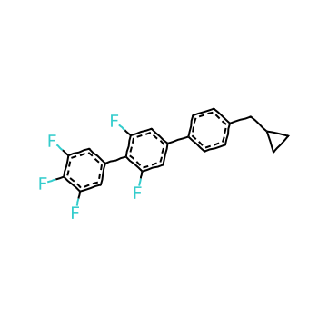 Fc1cc(-c2c(F)cc(-c3ccc(CC4CC4)cc3)cc2F)cc(F)c1F